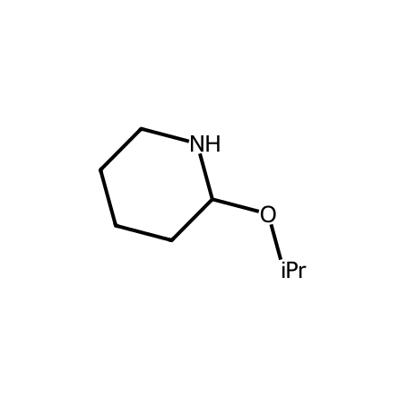 CC(C)OC1CCCCN1